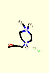 C[N+]1(C)CC[N+](C)(CC2CO2)CC1.[Cl-].[Cl-]